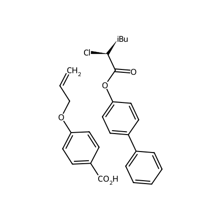 C=CCOc1ccc(C(=O)O)cc1.CC[C@H](C)[C@H](Cl)C(=O)Oc1ccc(-c2ccccc2)cc1